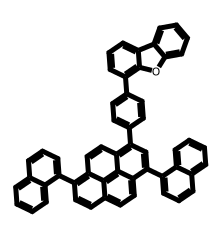 c1ccc2c(-c3ccc4ccc5c(-c6cccc7ccccc67)cc(-c6ccc(-c7cccc8c7oc7ccccc78)cc6)c6ccc3c4c65)cccc2c1